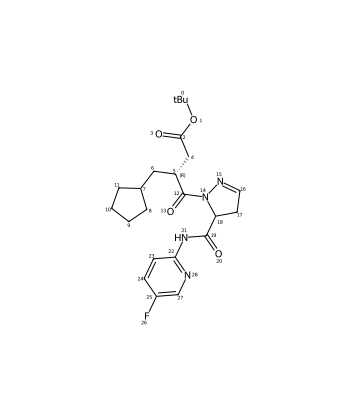 CC(C)(C)OC(=O)C[C@@H](CC1CCCC1)C(=O)N1N=CCC1C(=O)Nc1ccc(F)cn1